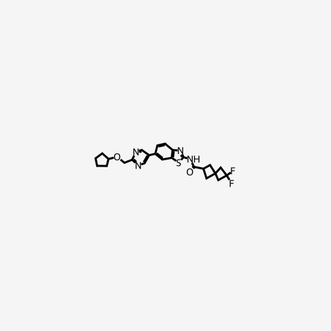 O=C(Nc1nc2ccc(-c3cnc(COC4CCCC4)nc3)cc2s1)C1CC2(C1)CC(F)(F)C2